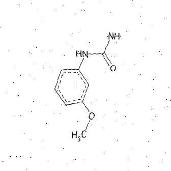 COc1cccc(NC([NH])=O)c1